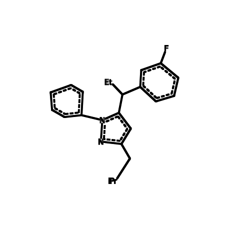 [CH2]CC(c1cccc(F)c1)c1cc(CC(C)C)nn1-c1ccccc1